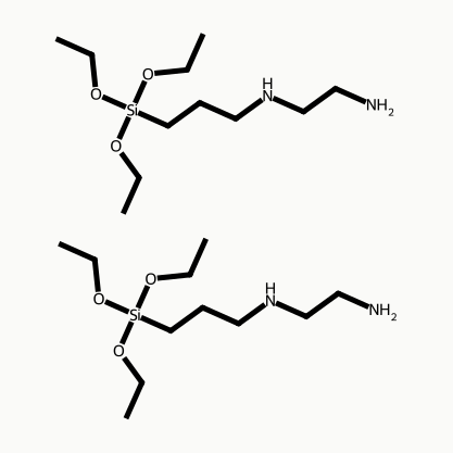 CCO[Si](CCCNCCN)(OCC)OCC.CCO[Si](CCCNCCN)(OCC)OCC